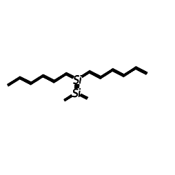 CCCCCC[Si](CCCCCC)=[Si](C)C